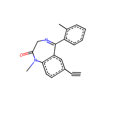 C#Cc1ccc2c(c1)C(c1ccccc1C)=NCC(=O)N2C